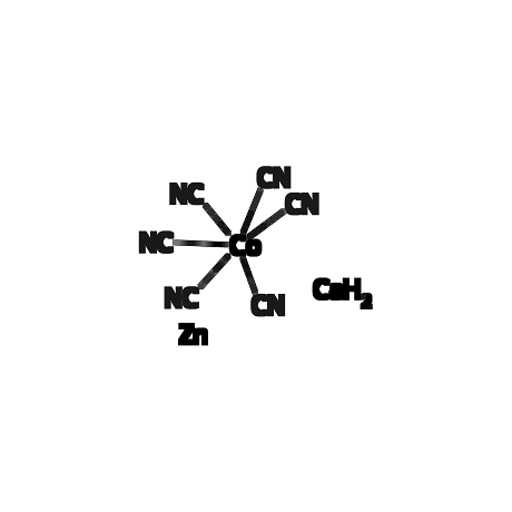 N#[C][Co]([C]#N)([C]#N)([C]#N)([C]#N)[C]#N.[CaH2].[Zn]